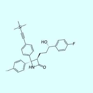 [CH2]c1ccc([C@@]2(c3ccc(C#C[Si](C)(C)C)cc3)NC(=O)[C@@H]2CC[C@H](O)c2ccc(F)cc2)cc1